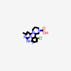 Cc1cc(N2CCCN(C(=O)O)CC2c2ccccc2Cl)nc(N)n1